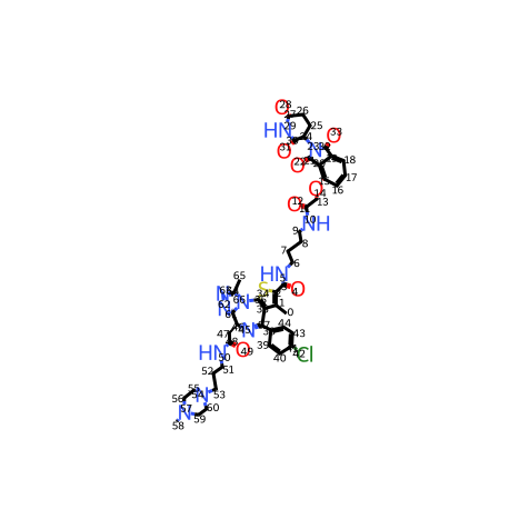 Cc1c(C(=O)NCCCCNC(=O)COc2cccc3c2C(=O)N(C2CCC(=O)NC2=O)C3=O)sc2c1C(c1ccc(Cl)cc1)=N[C@@H](CC(=O)NCCCN1CCN(C)CC1)c1nnc(C)n1-2